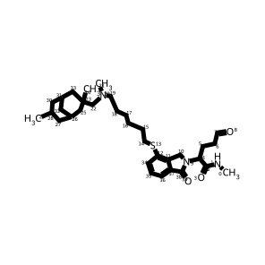 CNC(=O)C(CCC=O)N1Cc2c(SCCCCCCN(C)CC3(C)CC4CC(C)CC(C4)C3)cccc2C1=O